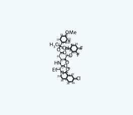 CC[C@@H](C(=O)NC(CC(=O)OC(C)(C)c1ccc(OC)cc1)C(=O)COc1c(F)c(F)cc(F)c1F)n1ccc2ccc(Cl)cc2c1=O